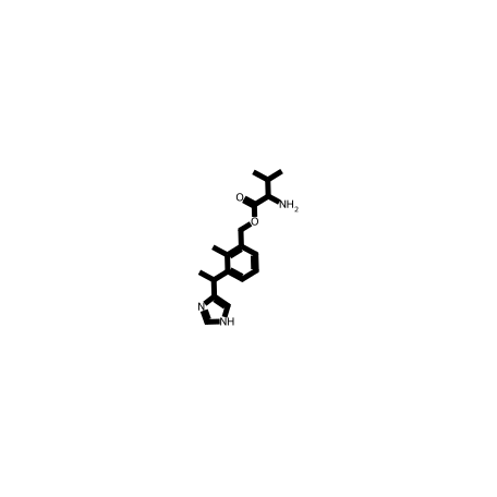 Cc1c(COC(=O)C(N)C(C)C)cccc1C(C)c1c[nH]cn1